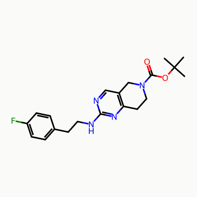 CC(C)(C)OC(=O)N1CCc2nc(NCCc3ccc(F)cc3)ncc2C1